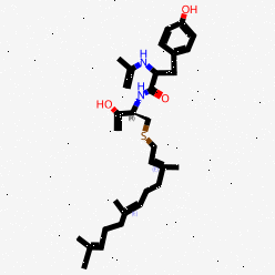 C=C(C)NC(Cc1ccc(O)cc1)C(=O)N[C@@H](CSC/C=C(\C)CC/C=C(\C)CCC=C(C)C)C(=C)O